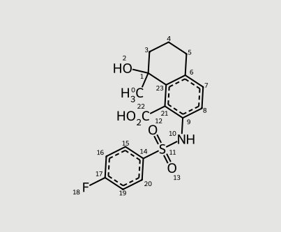 CC1(O)CCCc2ccc(NS(=O)(=O)c3ccc(F)cc3)c(C(=O)O)c21